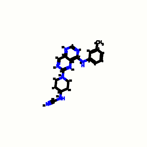 Cc1cccc(Nc2ncnc3cnc(N4CCC(NC#N)CC4)nc23)c1